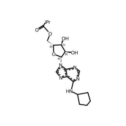 CC(C)C(=O)OC[C@H]1O[C@@H](n2cnc3c(NC4CCCC4)ncnc32)[C@H](O)[C@@H]1O